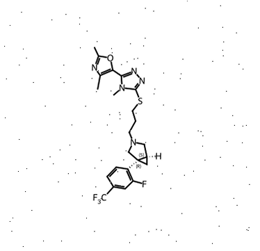 Cc1nc(C)c(-c2nnc(SCCCN3C[C@H]4C[C@@]4(c4ccc(C(F)(F)F)cc4F)C3)n2C)o1